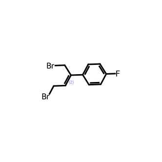 Fc1ccc(/C(=C/CBr)CBr)cc1